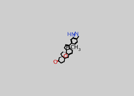 CC12CC=C3C=C4CCC(=O)C[C@]45CC[C@]3(O5)[C@@H]1CC=C2c1ccc2cn[nH]c2c1